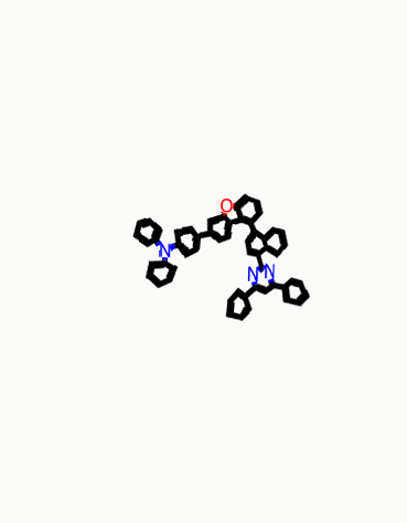 c1ccc(-c2cc(-c3ccccc3)nc(-c3ccc(-c4cccc5oc6cc(-c7ccc(N(c8ccccc8)c8ccccc8)cc7)ccc6c45)c4ccccc34)n2)cc1